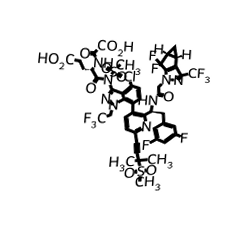 CC(C)(C#Cc1ccc(-c2ccc(Cl)c3c(N(C(=O)[C@H](CCC(=O)O)NC(=O)C(=O)O)S(C)(=O)=O)nn(CC(F)(F)F)c23)c([C@H](Cc2cc(F)cc(F)c2)NC(=O)Cn2nc(C(F)(F)F)c3c2C(F)(F)[C@@H]2C[C@H]32)n1)S(C)(=O)=O